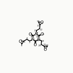 O=c1n(CCC2CO2)c(=O)n(CCC2CO2)c(=O)n1CCC1CO1